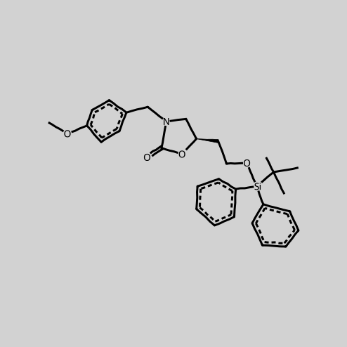 COc1ccc(CN2C[C@@H](CCO[Si](c3ccccc3)(c3ccccc3)C(C)(C)C)OC2=O)cc1